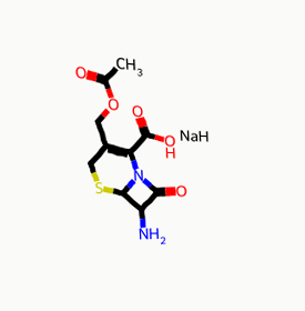 CC(=O)OCC1=C(C(=O)O)N2C(=O)C(N)C2SC1.[NaH]